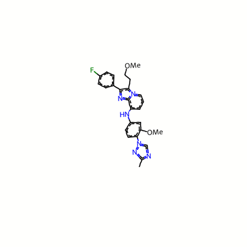 COCCc1c(-c2ccc(F)cc2)nc2c(Nc3ccc(-n4cnc(C)n4)c(OC)c3)cccn12